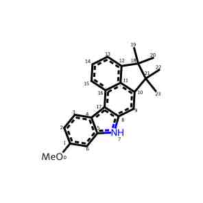 COc1ccc2c(c1)[nH]c1cc3c4c(cccc4c12)C(C)(C)C3(C)C